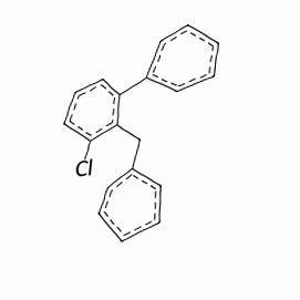 Clc1cccc(-c2ccccc2)c1Cc1ccccc1